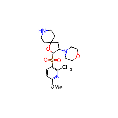 COc1ccc(S(=O)(=O)C2OC3(CCNCC3)CC2N2CCOCC2)c(C)n1